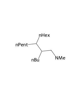 CCCCCCC(CCCCC)C(CCCC)CNC